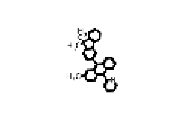 Cc1ccc2c(-c3ccccn3)c3ccccc3c(-c3ccc4c(c3)C3=C(C=CCC3)C4(C)C)c2c1